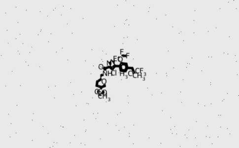 CCn1nc(C(=O)NC[C@@H]2CCC(S(C)(=O)=O)CO2)c(Cl)c1-c1ccc(CC(C)(C)C(F)(F)F)cc1OC(F)F